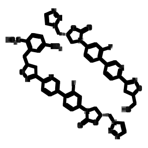 O=C(O)c1ccc([N+](=O)[O-])cc1CC1CC(c2ccc(-c3ccc(N4C[C@H](Cn5ccnn5)OC4=O)cc3F)cn2)=NO1.O=C1O[C@@H](Cn2ccnn2)CN1c1ccc(-c2ccc(C3=NOC(CO)C3)nc2)c(F)c1